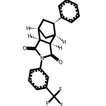 O=C1[C@@H]2[C@H]3C[C@H](C[C@@H]3c3ccccc3)[C@@H]2C(=O)N1c1cccc(C(F)(F)F)c1